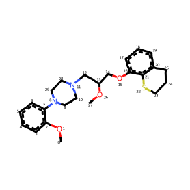 COc1ccccc1N1CCN(CC(COc2cccc3c2SCCC3)OC)CC1